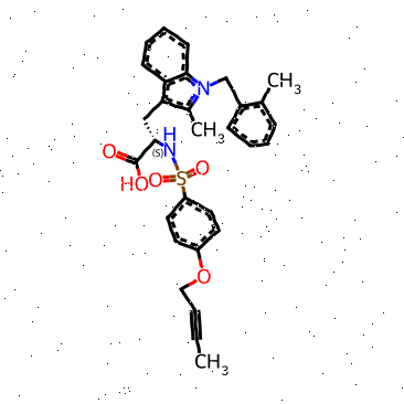 CC#CCOc1ccc(S(=O)(=O)N[C@@H](Cc2c(C)n(Cc3ccccc3C)c3ccccc23)C(=O)O)cc1